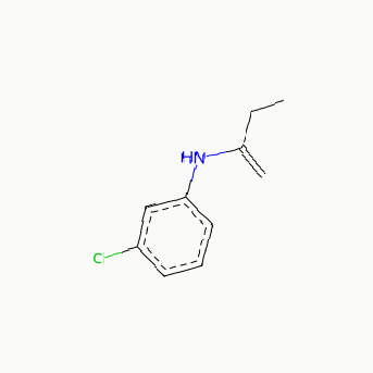 C=C(CC)Nc1cccc(Cl)c1